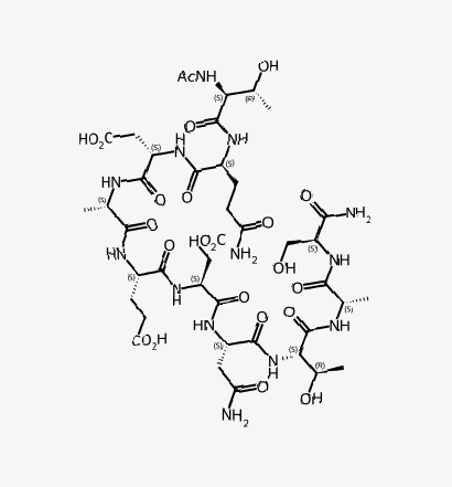 CC(=O)N[C@H](C(=O)N[C@@H](CCC(N)=O)C(=O)N[C@@H](CC(=O)O)C(=O)N[C@@H](C)C(=O)N[C@@H](CCC(=O)O)C(=O)N[C@@H](CC(=O)O)C(=O)N[C@@H](CC(N)=O)C(=O)N[C@H](C(=O)N[C@@H](C)C(=O)N[C@@H](CO)C(N)=O)[C@@H](C)O)[C@@H](C)O